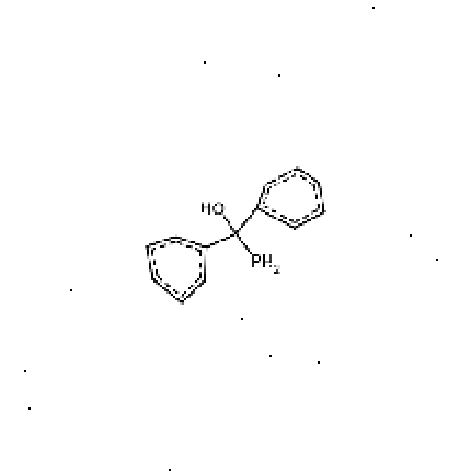 OC(P)(c1ccccc1)c1ccccc1